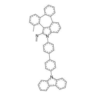 C=Nc1c2c3c(cccc3n1-c1ccc(-c3ccc(-n4c5ccccc5c5ccccc54)cc3)cc1)-c1ccccc1-c1cccc(C)c1-2